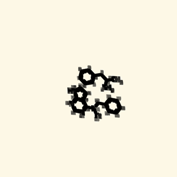 CC(N)Cc1ccccc1.CCN(Cc1ccccc1)c1ncnc2[nH]ccc12